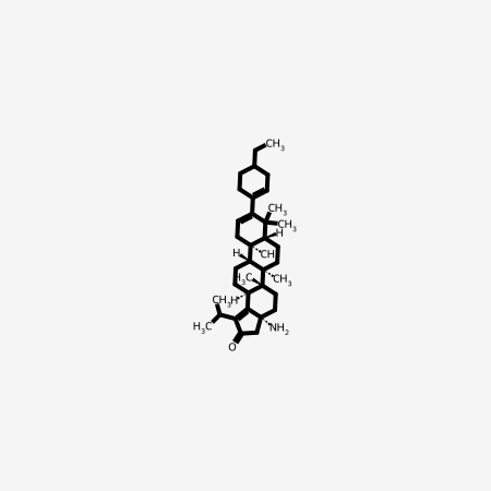 CCC1CC=C(C2=CC[C@]3(C)[C@H]4CC[C@@H]5C6=C(C(C)C)C(=O)C[C@]6(N)CC[C@@]5(C)[C@]4(C)CC[C@H]3C2(C)C)CC1